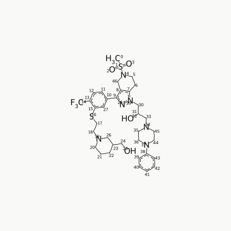 CS(=O)(=O)N1CCc2c(c(-c3ccc(C(F)(F)F)c(SCCN4CCCC(CO)C4)c3)nn2CC(O)CN2CCN(c3ccccc3)CC2)C1